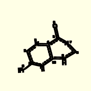 CC(C)c1cnc2c(=O)nc[nH]c2n1